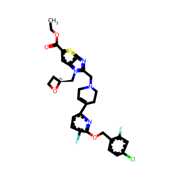 CCOC(=O)c1cc2c(nc(CN3CC=C(c4ccc(F)c(OCc5ccc(Cl)cc5F)n4)CC3)n2C[C@@H]2CCO2)s1